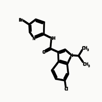 CC(C)n1cc(C(=O)Nc2ccc(Br)cn2)c2ccc(Cl)cc21